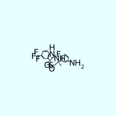 C[C@@]1(c2cccc(C(F)(F)F)c2)C(=N)N[C@](C)(c2cc(N)ccc2F)CS1(=O)=O